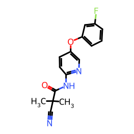 CC(C)(C#N)C(=O)Nc1ccc(Oc2cccc(F)c2)cn1